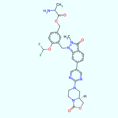 CC(N)C(=O)OCc1ccc(OC(F)F)c(Cn2c3cc(-c4cnc(N5CCN6C(=O)OC[C@@H]6C5)nc4)ccc3c(=O)n2C)c1